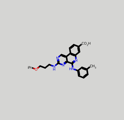 Cc1cccc(Nc2nc3cc(C(=O)O)ccc3c3cnc(NCCCOC(C)C)nc23)c1